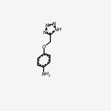 Nc1ccc(OCc2nnn[nH]2)cc1